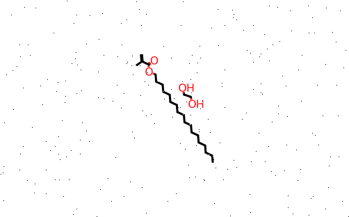 C=C(C)C(=O)OCCCCCCCCCCCCCCCCCC.OCCO